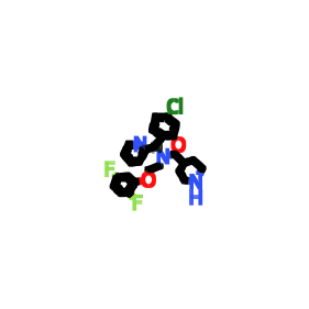 O=C(C1CCNCC1)N(CCOc1cc(F)ccc1F)[C@@H](c1ccc(Cl)cc1)c1ccccn1